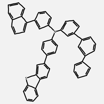 c1ccc(-c2cccc(-c3cccc(N(c4ccc(-c5ccc6c(c5)sc5ccccc56)cc4)c4cccc(-c5cccc6ccccc56)c4)c3)c2)cc1